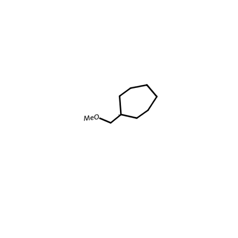 COC[C]1CCCCCC1